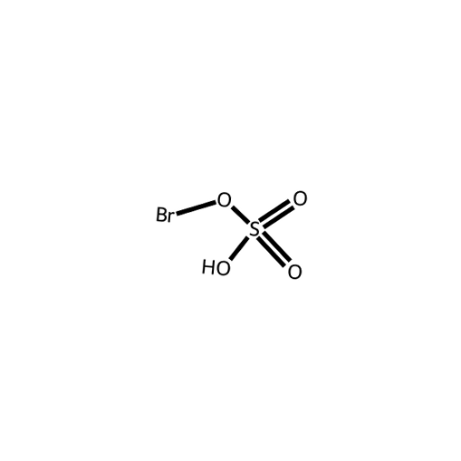 O=S(=O)(O)OBr